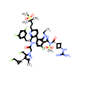 CC(C)(CCc1ccc(-c2ccc(Cl)c3c(N(C(=O)[C@H]4C[C@H](NC(=N)N)C4)S(C)(=O)=O)nn(CC(F)(F)F)c23)c([C@H](Cc2cc(F)cc(F)c2)NC(=O)Cn2nc(C(F)(F)F)c([C@H]3CC3CF)c2CF)n1)S(C)(=O)=O